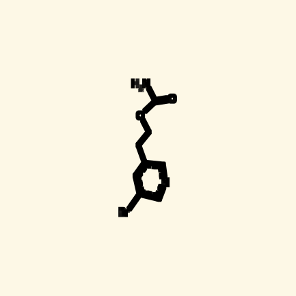 NC(=O)OCCc1cncc(Br)c1